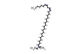 CCCCC/C=C\C/C=C\CCCCCCCCCCCCCCCCCC/C=[N+](\C)CC